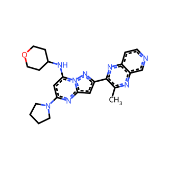 Cc1nc2cnccc2nc1-c1cc2nc(N3CCCC3)cc(NC3CCOCC3)n2n1